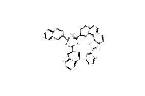 c1ccc(-c2nc3ccc4ccc5ccc(-c6nc(-c7ccc8ccccc8c7)nc(-c7ccc8ccccc8c7)n6)cc5c4c3o2)cc1